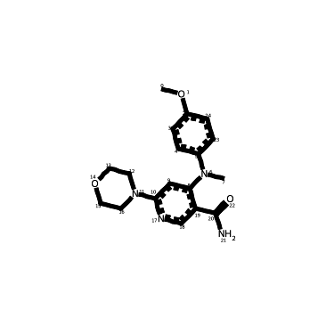 COc1ccc(N(C)c2cc(N3CCOCC3)ncc2C(N)=O)cc1